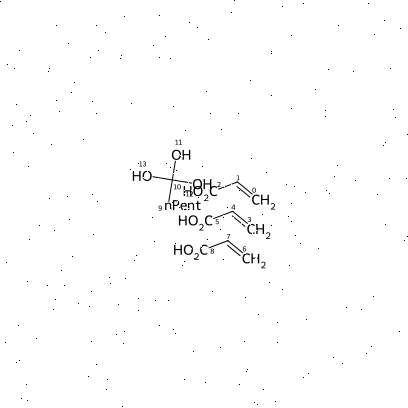 C=CC(=O)O.C=CC(=O)O.C=CC(=O)O.CCCCCC(O)(O)O